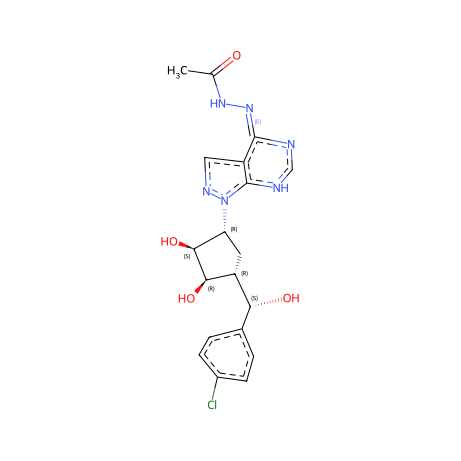 CC(=O)N/N=c1/nc[nH]c2c1cnn2[C@@H]1C[C@H]([C@H](O)c2ccc(Cl)cc2)[C@@H](O)[C@H]1O